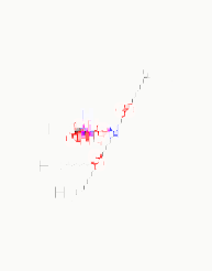 CCCCCCCCCCCOC(=O)CCCCCN(CCCCCCCC(=O)OC(CCCCCCCC)CCCCCCCC)CCOC(=O)CCNC(=O)[C@H](O)C(C)(C)CO